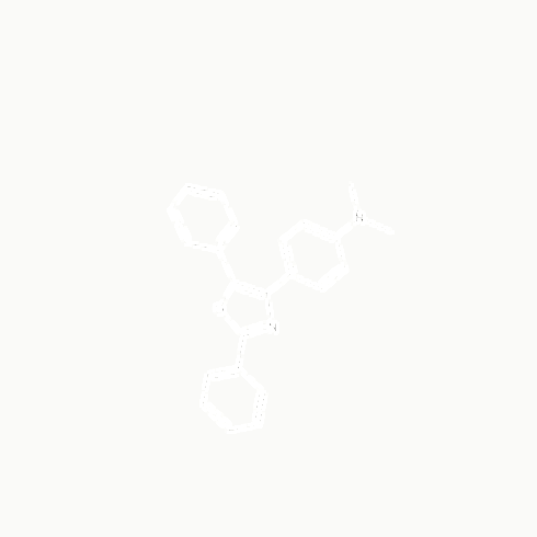 CN(C)c1ccc(-c2nc(-c3ccccc3)oc2-c2ccccc2)cc1